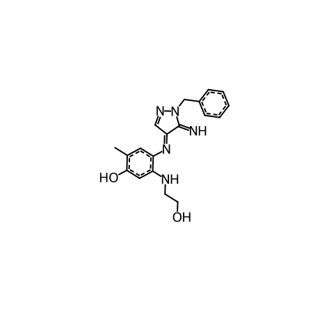 Cc1cc(N=C2C=NN(Cc3ccccc3)C2=N)c(NCCO)cc1O